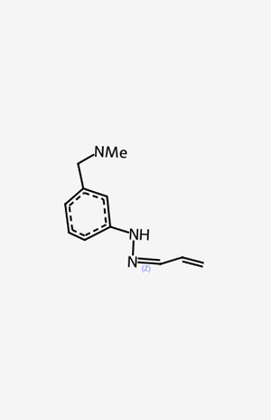 C=C/C=N\Nc1cccc(CNC)c1